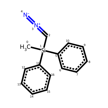 C[Si](C=[N+]=[N-])(c1ccccc1)c1ccccc1